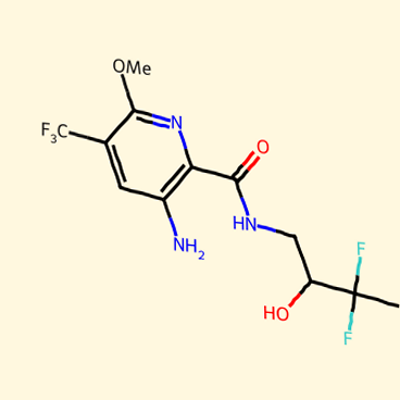 COc1nc(C(=O)NCC(O)C(C)(F)F)c(N)cc1C(F)(F)F